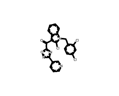 O=C(c1nc(-c2cccnc2)no1)c1c(Cl)n(Cc2ccc(Cl)cc2Cl)c2ccccc12